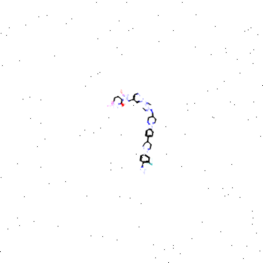 Cc1cnc(N2CCN(CC3CCN(c4ccc(C5CCN(c6ccc(C#N)c(C(F)(F)F)c6)CC5)cc4)CC3)CC2)cc1CN(C=O)C1CCC(=O)NC1=O